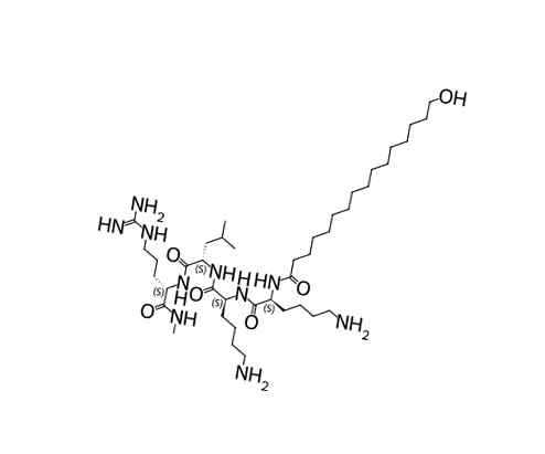 CNC(=O)[C@H](CCCNC(=N)N)NC(=O)[C@H](CC(C)C)NC(=O)[C@H](CCCCN)NC(=O)[C@H](CCCCN)NC(=O)CCCCCCCCCCCCCCCO